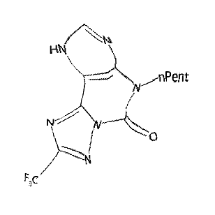 CCCCCn1c(=O)n2nc(C(F)(F)F)nc2c2[nH]cnc21